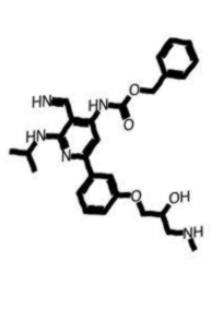 CNCC(O)COc1cccc(-c2cc(NC(=O)OCc3ccccc3)c(C=N)c(NC(C)C)n2)c1